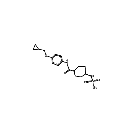 CC(C)(C)S(=O)(=O)NC1CCN(C(=O)Nc2ccc(OCC3CC3)cc2)CC1